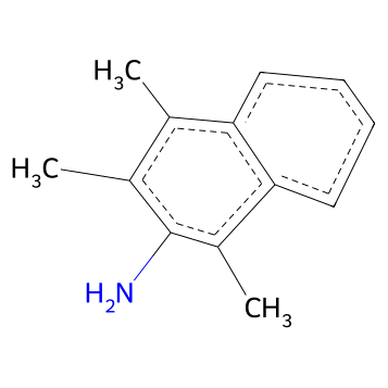 Cc1c(N)c(C)c2ccccc2c1C